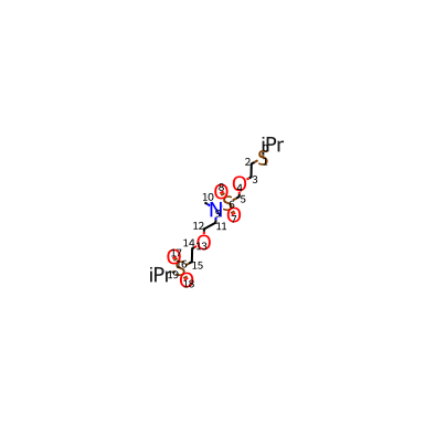 CC(C)SCCOCS(=O)(=O)N(C)CCOCCS(=O)(=O)C(C)C